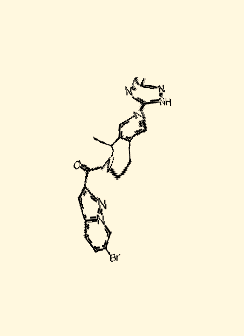 CC1c2cn(-c3nnn[nH]3)cc2CCN1C(=O)c1cc2ccc(Br)cn2n1